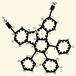 N#Cc1ccc2c3c(-c4ccccc4)c(-c4ccccc4)c(-c4ccccc4)c4c5ccc(C#N)cc5n(c2c1)c34